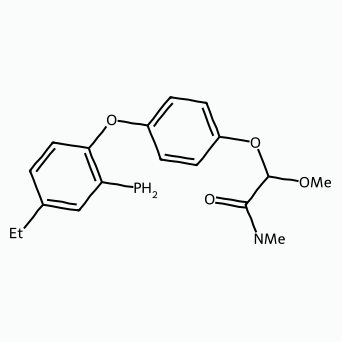 CCc1ccc(Oc2ccc(OC(OC)C(=O)NC)cc2)c(P)c1